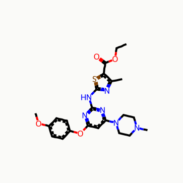 CCOC(=O)c1sc(Nc2nc(Oc3ccc(OC)cc3)cc(N3CCN(C)CC3)n2)nc1C